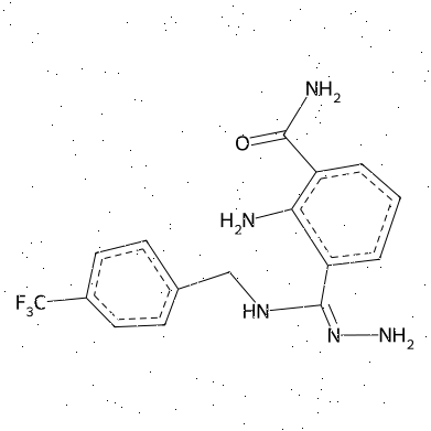 N/N=C(/NCc1ccc(C(F)(F)F)cc1)c1cccc(C(N)=O)c1N